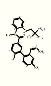 C/N=C\c1cc(C(F)(F)F)ncc1-c1cc(C(=O)N(C)c2ccccc2OCC(C)(C)C(=O)O)ccc1Cl